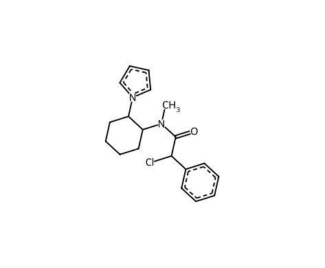 CN(C(=O)C(Cl)c1ccccc1)C1CCCCC1n1cccc1